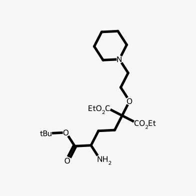 CCOC(=O)C(CCC(N)C(=O)OC(C)(C)C)(OCCN1CCCCC1)C(=O)OCC